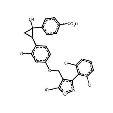 CC(C)c1onc(-c2c(Cl)cccc2Cl)c1COc1ccc(C2CC2(C#N)c2ccc(C(=O)O)cc2)c(Cl)c1